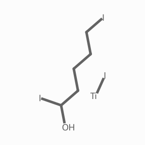 OC(I)CCCCI.[Ti][I]